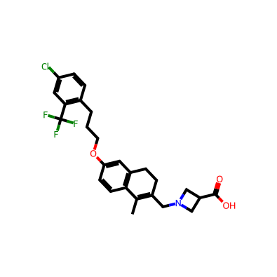 CC1=C(CN2CC(C(=O)O)C2)CCc2cc(OCCCc3ccc(Cl)cc3C(F)(F)F)ccc21